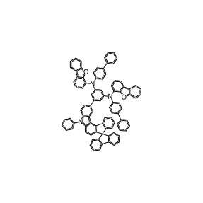 c1ccc(-c2ccc(N(c3cc(-c4ccc5c(c4)c4c6c(ccc4n5-c4ccccc4)C4(c5ccccc5-c5ccccc54)c4ccccc4-6)cc(N(c4ccc(-c5ccccc5)cc4)c4cccc5c4oc4ccccc45)c3)c3cccc4c3oc3ccccc34)cc2)cc1